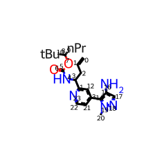 C=CCC(NC(=O)OC(CCC)C(C)(C)C)c1cc(-c2c(N)cnn2C)ccn1